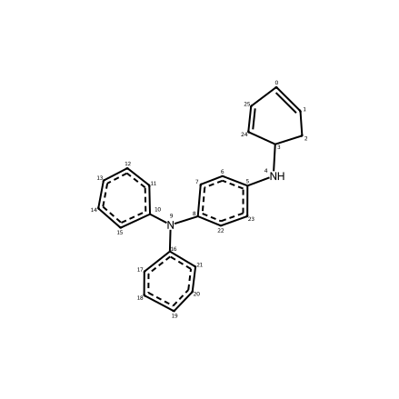 C1=CCC(Nc2ccc(N(c3ccccc3)c3ccccc3)cc2)C=C1